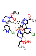 C=CC(=O)N1CCN(S(C)(=O)=O)[C@@H](c2cc(Cl)nc(-c3cc(C(=O)NC)ncn3)c2)[C@@H]1CO.COC[C@H]1[C@H](c2cc(Cl)nc(Br)c2)NCCN1C(=O)OC(C)(C)C